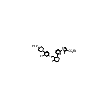 CCOC(=O)c1cnn(-c2cccc(C3=C(COc4ccc(C5CCN(C(=O)O)CC5)c(CC)c4)C(C)CCC3)n2)c1C